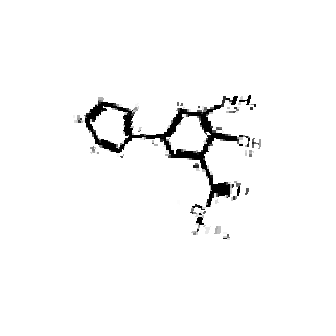 COC(=O)c1cc(-c2ccccc2)cc(N)c1O